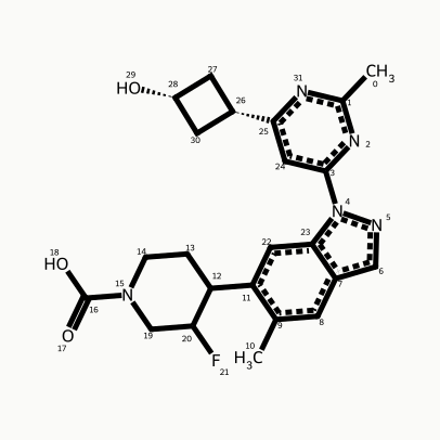 Cc1nc(-n2ncc3cc(C)c(C4CCN(C(=O)O)CC4F)cc32)cc([C@H]2C[C@@H](O)C2)n1